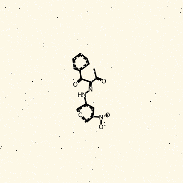 CC(=O)C(=NNc1cccc([N+](=O)[O-])c1)C(=O)c1ccccc1